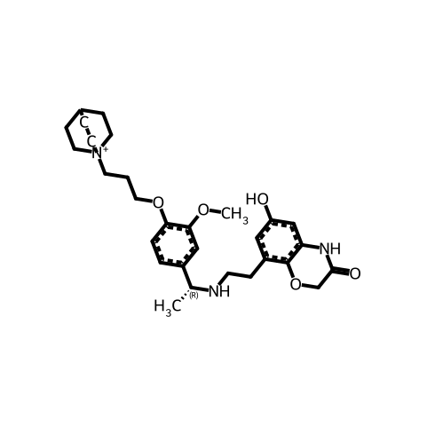 COc1cc([C@@H](C)NCCc2cc(O)cc3c2OCC(=O)N3)ccc1OCCC[N+]12CCC(CC1)CC2